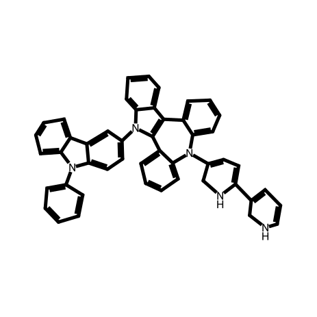 C1=CNCC(C2=CC=C(N3c4ccccc4-c4c(n(-c5ccc6c(c5)c5ccccc5n6-c5ccccc5)c5ccccc45)-c4ccccc43)CN2)=C1